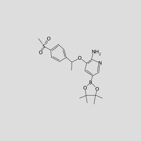 CC(Oc1cc(B2OC(C)(C)C(C)(C)O2)cnc1N)c1ccc(S(C)(=O)=O)cc1